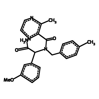 COc1cccc(C(C(N)=O)N(Cc2ccc(C)cc2)C(=O)c2nccnc2C)c1